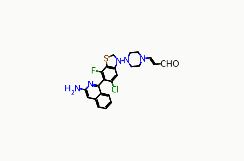 Nc1cc2ccccc2c(-c2c(Cl)cc3c(c2F)SCN3N2CCN(C=CC=O)CC2)n1